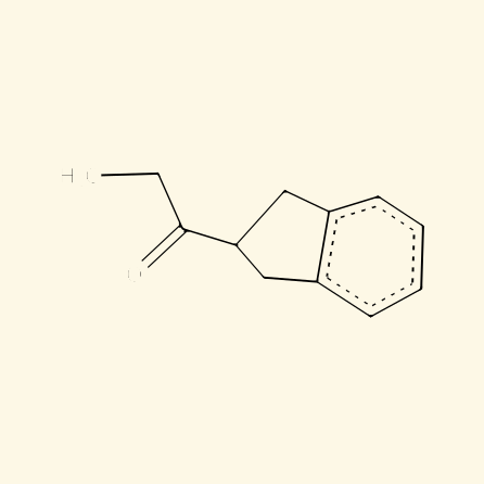 CCC(=O)C1Cc2ccccc2C1